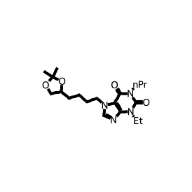 CCCn1c(=O)c2c(ncn2CCCCC2COC(C)(C)O2)n(CC)c1=O